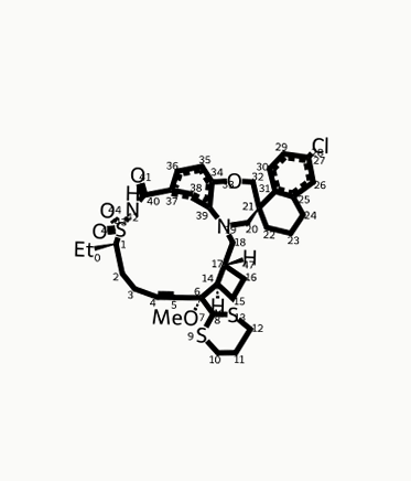 CC[C@@H]1CC/C=C/[C@](OC)(C2SCCCS2)[C@@H]2CC[C@H]2CN2C[C@@]3(CCCc4cc(Cl)ccc43)COc3ccc(cc32)C(=O)NS1(=O)=O